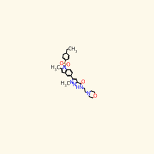 CCC1C=CC(S(=O)(=O)n2c(C)cc3cc(-c4cc(C(=O)NCCN5CCOCC5)nn4C)ccc32)=CC1